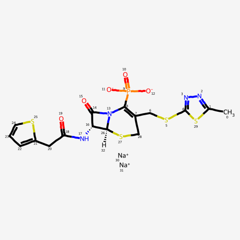 Cc1nnc(SCC2=C(P(=O)([O-])[O-])N3C(=O)[C@@H](NC(=O)Cc4cccs4)[C@@H]3SC2)s1.[Na+].[Na+]